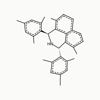 Cc1cc(C)c([C@@H]2N[C@@H](c3c(C)cc(C)cc3C)c3c(C)ccc4ccc(C)c2c34)c(C)c1